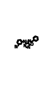 Brc1cccc(Nc2ncnc3oc(-c4ccccc4)nc23)c1